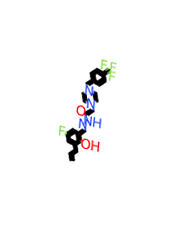 C=CCc1cc(F)cc(/C=N/NC(=O)CN2CCN(Cc3ccc(C(F)(F)F)cc3)CC2)c1O